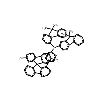 Cc1ccc2c(c1)C1(c3cc(C(C)(C)C)ccc3-2)c2ccccc2-c2cccc(-c3ccc(N(c4ccc5c(c4)C(C)(C)c4ccccc4-5)c4cccc5c4-c4ccccc4C5(C)C)cc3)c21